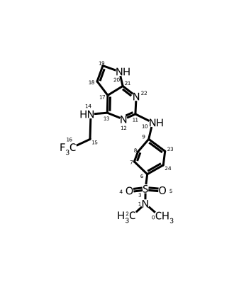 CN(C)S(=O)(=O)c1ccc(Nc2nc(NCC(F)(F)F)c3cc[nH]c3n2)cc1